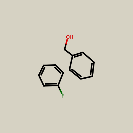 Fc1ccccc1.OCc1ccccc1